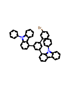 Brc1cccc(-c2cc(-c3cccc4c3c3ccccc3n4-c3ccccc3)cc(-c3cccc4c5ccccc5n(-c5ccccc5)c34)c2)c1